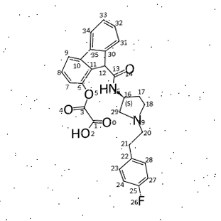 O=C(O)C(=O)Oc1cccc2c1C(C(=O)N[C@H]1CCN(CCc3ccc(F)cc3)C1)c1ccccc1-2